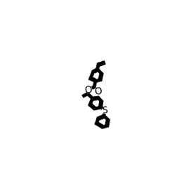 C=Cc1ccc(C(=O)OC(C)c2ccc(Sc3ccccc3)cc2)cc1